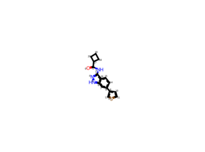 O=C(Nc1n[nH]c2cc(-c3ccsc3)ccc12)C1CCC1